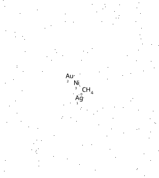 C.[Ag].[Au].[Ni]